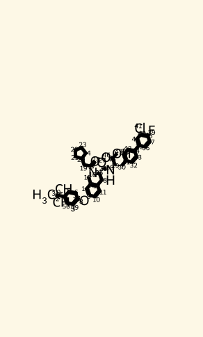 CC(C)(C)c1ccc(Oc2ccc3c(c2)CN(C(=O)CC2CCCC2)[C@H](C(=O)N[C@@H](Cc2ccc(-c4ccc(F)c(Cl)c4)cc2)C(=O)O)C3)cc1